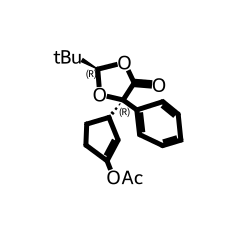 CC(=O)OC1=CC([C@]2(c3ccccc3)O[C@@H](C(C)(C)C)OC2=O)CC1